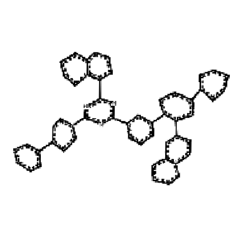 c1ccc(-c2ccc(-c3nc(-c4cccc(-c5ccc(-c6ccccc6)cc5-c5ccc6ccccc6c5)c4)nc(-c4cccc5ccccc45)n3)cc2)cc1